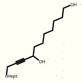 CCCCCCCCC#CC(O)CCCCCCCO